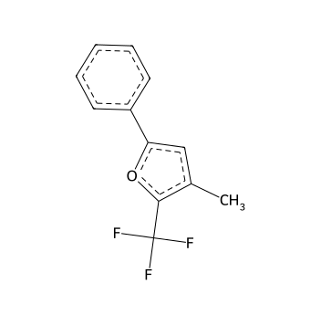 Cc1cc(-c2ccccc2)oc1C(F)(F)F